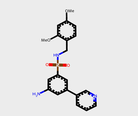 COc1ccc(CNS(=O)(=O)c2cc(N)cc(-c3cccnc3)c2)c(OC)c1